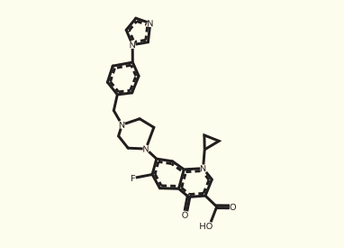 O=C(O)c1cn(C2CC2)c2cc(N3CCN(Cc4ccc(-n5ccnc5)cc4)CC3)c(F)cc2c1=O